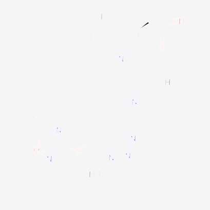 CCc1nc(-c2nnn(C)c2COc2noc(C3CC3)n2)ccc1N1C[C@H](CC(=O)O)CC(F)(F)C1